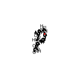 CNC(=O)COc1cc2c(F)c(Nc3nc(N4CCC(CN5CCC6(CN(c7ccc8c(c7)CN(C7CCC(=O)NC7=O)C8=O)C6)C(F)(F)C5)CC4)ncc3Cl)ccc2n(C(C)C)c1=O